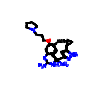 COc1cc2c(cc1OCCCN1CCCC1)N=C(N)NC2(N)c1cc(C2CC2)[nH]n1